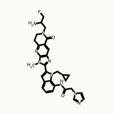 Cn1c(-c2cc3cccc(NC(=O)Cn4ccnc4)c3n2CC2CC2)nc2cc3c(nc21)CCN(CC(N)CF)C3=O